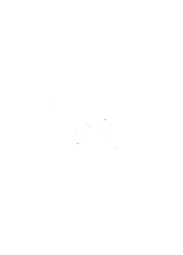 CC1CC2=CCC(c3cccc(N(CCCCO)c4cccc(O)c4)c3)(C2)C1